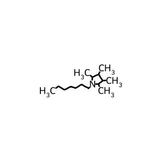 CCCCCCCN1C(C)C(C)C(C)C1C